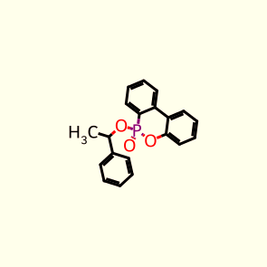 CC(OP1(=O)Oc2ccccc2-c2ccccc21)c1ccccc1